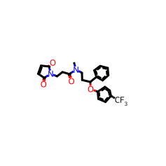 CN(CCC(Oc1ccc(C(F)(F)F)cc1)c1ccccc1)C(=O)CCN1C(=O)C=CC1=O